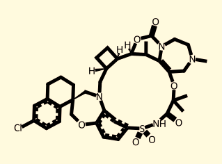 CC1C2=C3CN(C)CCN2C(=O)O[C@@H]1[C@@H]1CC[C@H]1CN1C[C@@]2(CCCc4cc(Cl)ccc42)COc2ccc(cc21)S(=O)(=O)NC(=O)C(C)(C)O3